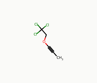 CC#COCC(Cl)(Cl)Cl